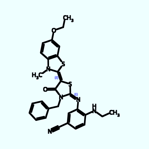 CCNc1ccc(C#N)cc1/N=C1/S/C(=C2\Sc3cc(OCC)ccc3N2C)C(=O)N1Cc1ccccc1